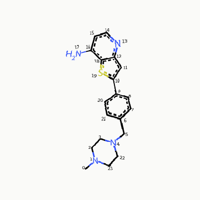 CN1CCN(Cc2ccc(-c3cc4nccc(N)c4s3)cc2)CC1